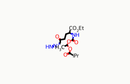 CCOC(=O)C(CCC(=O)C=[N+]=N)NC(=O)OC(C)OC(=O)C(C)C